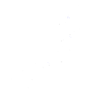 CC1(C)CC(OC(=O)NCc2ccc3c(c2)C(=O)N(C2CCC(=O)NC2=O)C3)C1